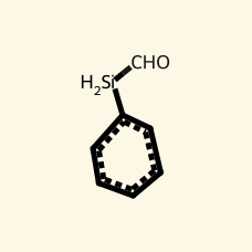 O=C[SiH2]c1ccccc1